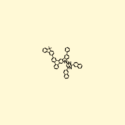 CC1(C)c2ccccc2-c2cc(-c3ccc4c5ccccc5c5cc6c(cc5c4c3)c3cc(-c4ccccc4)ccc3n6-c3cc(-c4ccc5ccccc5c4)nc(-c4ccc5ccccc5c4)n3)ccc21